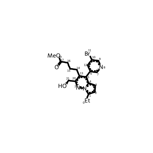 CCc1ccc2c(-c3cncc(Br)c3)c(CCCC(=O)OC)c(CO)nn12